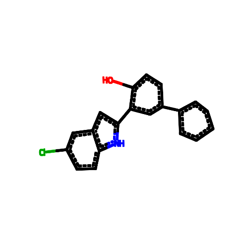 Oc1ccc(-c2ccccc2)cc1-c1cc2cc(Cl)ccc2[nH]1